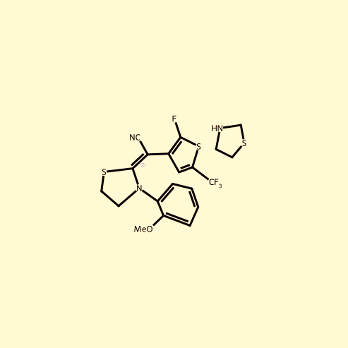 C1CSCN1.COc1ccccc1N1CCS/C1=C(\C#N)c1cc(C(F)(F)F)sc1F